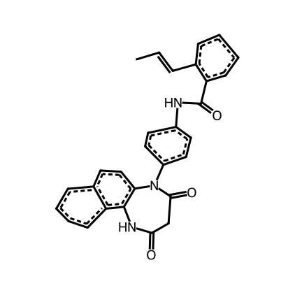 CC=Cc1ccccc1C(=O)Nc1ccc(N2C(=O)CC(=O)Nc3c2ccc2ccccc32)cc1